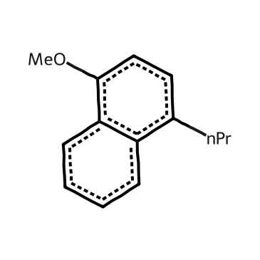 CCCc1ccc(OC)c2ccccc12